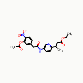 CCOC(=O)CC(C)c1ccc(NC(=O)Cc2ccc([N+](=O)[O-])c(OC(C)=O)c2)cn1